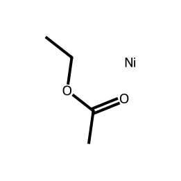 CCOC(C)=O.[Ni]